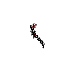 CCCCOC1CCC(C2CCC(c3ccc(-c4cc(F)c(C(F)(F)Oc5ccc(OC(F)(F)F)c(F)c5)c(F)c4)c(F)c3)CC2)CC1